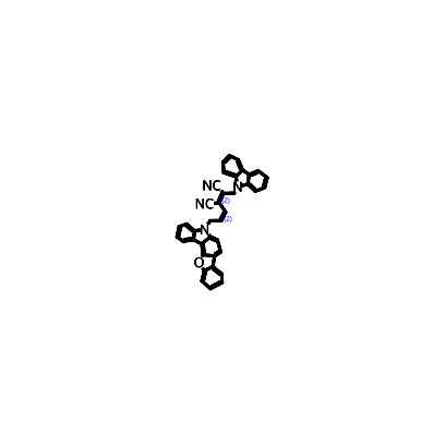 N#CC(/C=C\Cn1c2ccccc2c2c3oc4ccccc4c3ccc21)=C(\C#N)Cn1c2ccccc2c2ccccc21